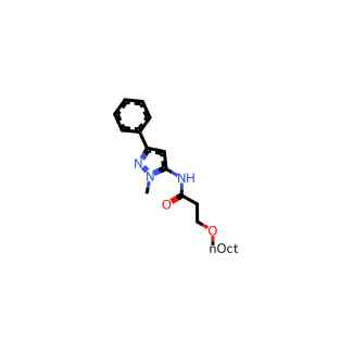 CCCCCCCCOCCC(=O)Nc1cc(-c2ccccc2)nn1C